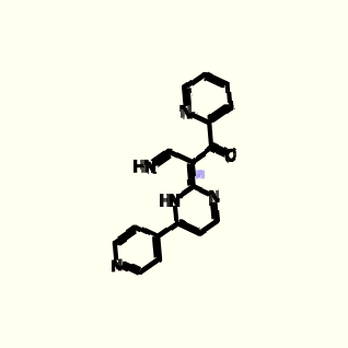 N=C/C(C(=O)c1ccccn1)=C1/N=CC=C(c2ccncc2)N1